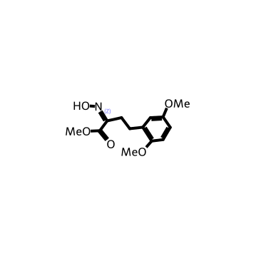 COC(=O)/C(CCc1cc(OC)ccc1OC)=N\O